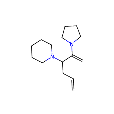 C=CC[C](C(=C)N1CCCC1)N1CCCCC1